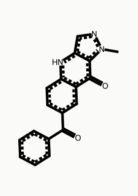 Cn1ncc2[nH]c3ccc(C(=O)c4ccccc4)cc3c(=O)c21